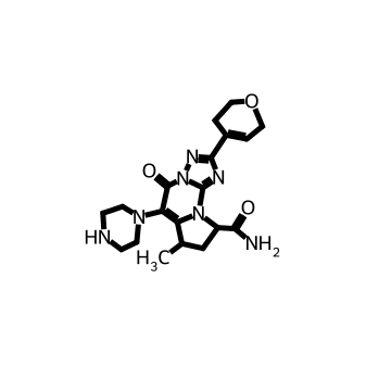 CC1CC(C(N)=O)n2c1c(N1CCNCC1)c(=O)n1nc(C3=CCOCC3)nc21